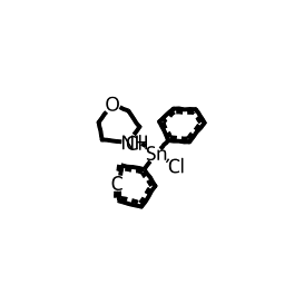 C1COCCN1.[Cl][Sn]([Cl])([c]1ccccc1)[c]1ccccc1